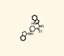 CCN(C(=O)c1cc2ccccc2[nH]1)C1CCC[C@@H](NC2CCc3ccccc32)C1